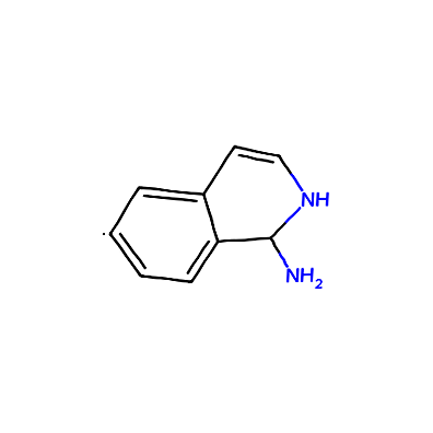 NC1NC=Cc2c[c]ccc21